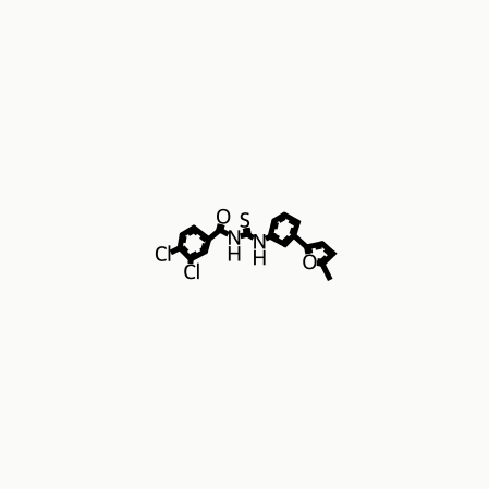 Cc1ccc(-c2cccc(NC(=S)NC(=O)c3ccc(Cl)c(Cl)c3)c2)o1